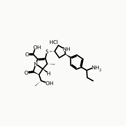 CCC(N)c1ccc([C@H]2C[C@H](SC3=C(C(=O)O)N4C(=O)[C@H]([C@@H](C)O)[C@H]4[C@H]3C)CN2)cc1.Cl